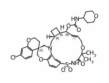 CC1(C)OC/C=C/[C@H](OC(=O)NC2CCOCC2)[C@@H]2CC[C@H]2CN2C[C@@]3(CCOc4cc(Cl)ccc43)COc3ccc(cc32)S(=O)(=O)NC1=O